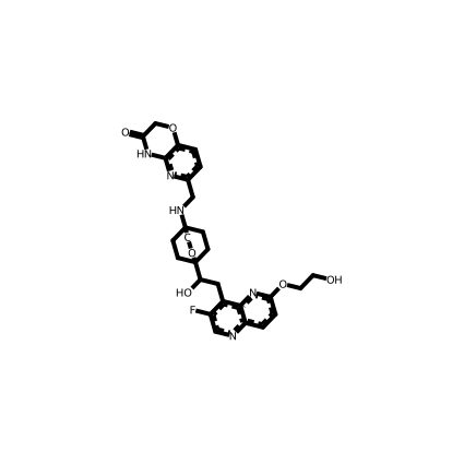 O=C1COc2ccc(CNC34CCC(C(O)Cc5c(F)cnc6ccc(OCCO)nc56)(CC3)OC4)nc2N1